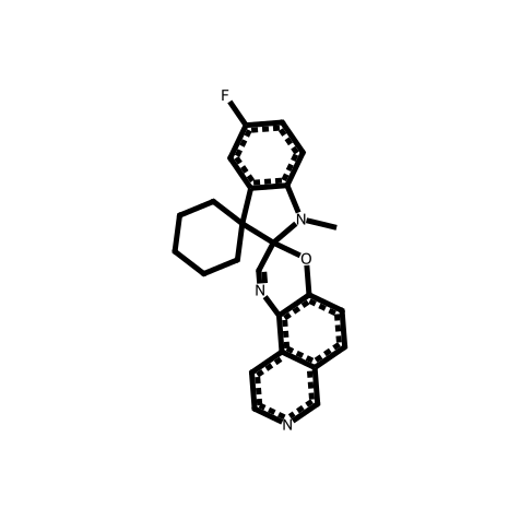 CN1c2ccc(F)cc2C2(CCCCC2)C12C=Nc1c(ccc3cnccc13)O2